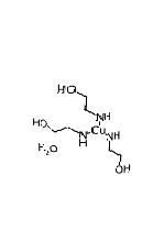 O.OCC[NH][Cu]([NH]CCO)[NH]CCO